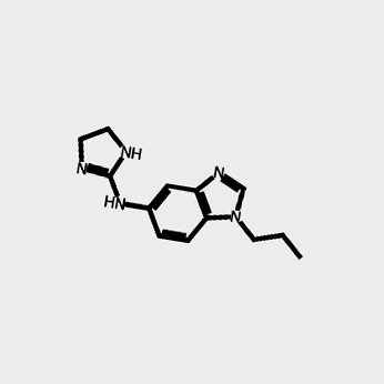 CCCn1cnc2cc(NC3=NCCN3)ccc21